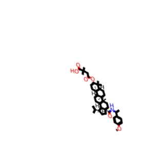 C=C(C)[C@@H]1CC[C@]2(C(=O)NC(C)c3ccc(OC)cc3)CC[C@]3(C)[C@H](CC[C@@H]4[C@@]5(C)CC[C@H](OC(=O)CC(C)(C)C(=O)O)C(C)(C)[C@@H]5CC[C@]43C)[C@@H]12